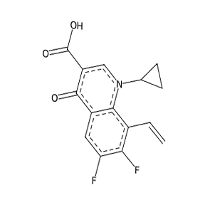 C=Cc1c(F)c(F)cc2c(=O)c(C(=O)O)cn(C3CC3)c12